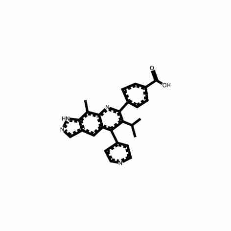 Cc1c2nc(-c3ccc(C(=O)O)cc3)c(C(C)C)c(-c3ccncc3)c2cc2cn[nH]c12